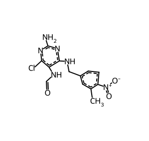 Cc1cc(CNc2nc(N)nc(Cl)c2NC=O)ccc1[N+](=O)[O-]